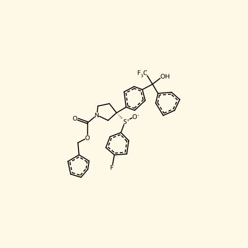 O=C(OCc1ccccc1)N1CC[C@](c2ccc(C(O)(c3ccccc3)C(F)(F)F)cc2)([S+]([O-])c2ccc(F)cc2)C1